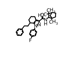 CC12CCC(C1)C(C)(C)C2NC(=O)c1nn(-c2ccc(F)cc2)c2c1CCCC2CCc1ccccc1